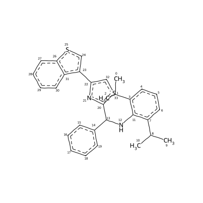 CC(C)c1cccc(C(C)C)c1NC(c1ccccc1)c1nc(-c2csc3ccccc23)cs1